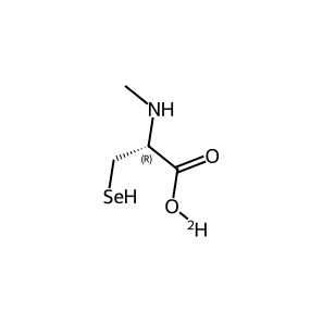 [2H]OC(=O)[C@H](C[SeH])NC